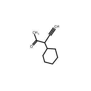 C#CC(C(C)=O)C1CCCCC1